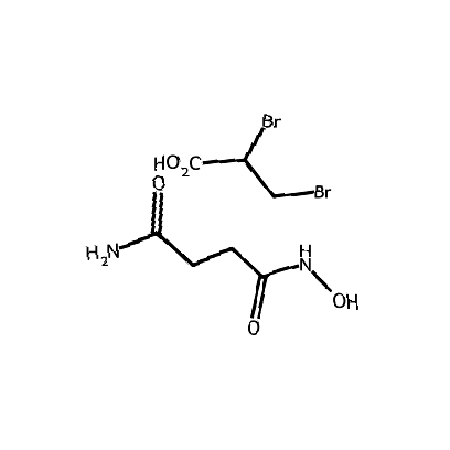 NC(=O)CCC(=O)NO.O=C(O)C(Br)CBr